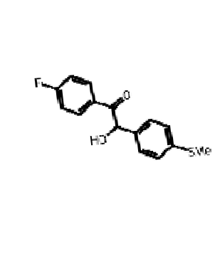 CSc1ccc(C(O)C(=O)c2ccc(F)cc2)cc1